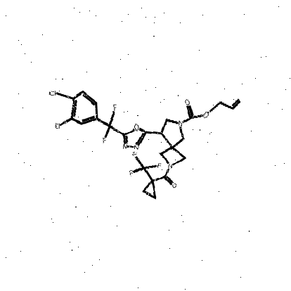 C=CCOC(=O)N1CC(c2nnc(C(F)(F)c3ccc(Cl)c(Cl)c3)o2)C2(C1)CN(C(=O)C1(C(F)(F)F)CC1)C2